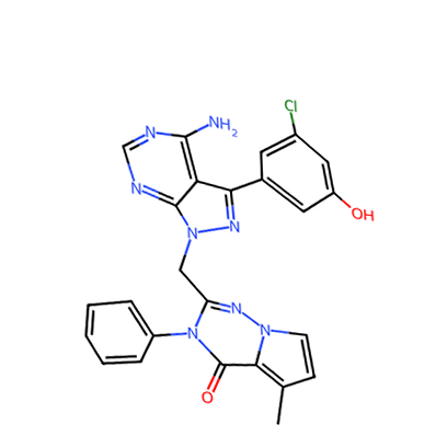 Cc1ccn2nc(Cn3nc(-c4cc(O)cc(Cl)c4)c4c(N)ncnc43)n(-c3ccccc3)c(=O)c12